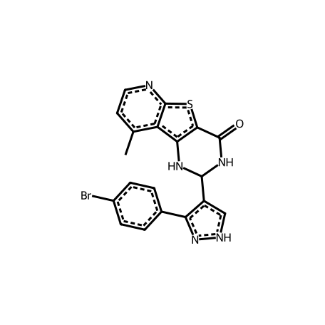 Cc1ccnc2sc3c(c12)NC(c1c[nH]nc1-c1ccc(Br)cc1)NC3=O